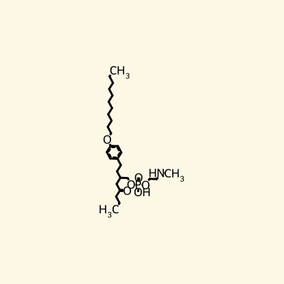 CCCCCCCCCCCOc1ccc(CCC(COP(=O)(O)OCCNC)CC(=O)CCC)cc1